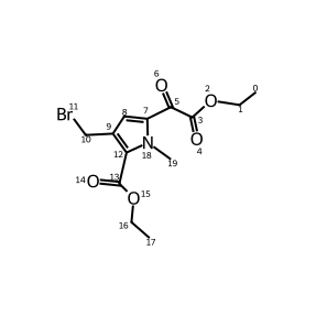 CCOC(=O)C(=O)c1cc(CBr)c(C(=O)OCC)n1C